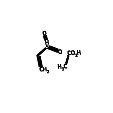 C=C[SH](=O)=O.CC(=O)O